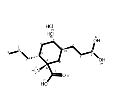 CNC[C@@H]1CC[C@@H](CCB(O)O)C[C@]1(N)C(=O)O.Cl.Cl